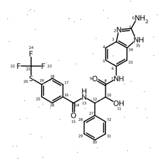 Nc1nc2ccc(NC(=O)C(O)C(NC(=O)c3ccc(SC(F)(F)F)cc3)c3ccccc3)cc2[nH]1